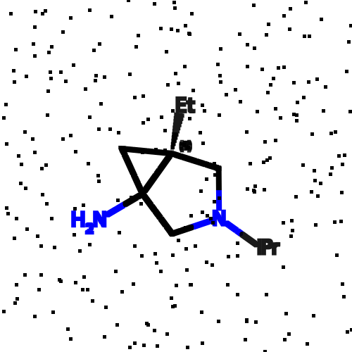 CC[C@]12CN(C(C)C)CC1(N)C2